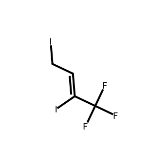 FC(F)(F)C(I)=CCI